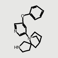 c1ccc(Oc2cncc([N+]34CCC(CC35CCNC5)C4)c2)cc1